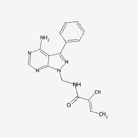 C/C=C(\C#N)C(=O)NCn1nc(-c2ccccc2)c2c(N)ncnc21